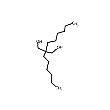 CCCCCCC(CO)(CO)CCCCCC